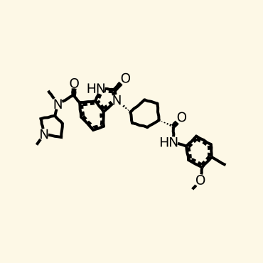 COc1cc(NC(=O)[C@H]2CC[C@@H](n3c(=O)[nH]c4c(C(=O)N(C)C5CCN(C)C5)cccc43)CC2)ccc1C